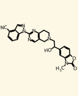 Cn1c(=O)oc2ccc(C(O)CN3CCc4nc(-n5ncc6c(C#N)cccc65)ncc4C3)cc21